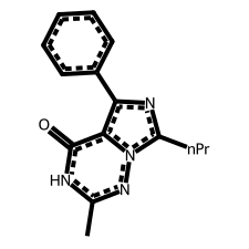 CCCc1nc(-c2ccccc2)c2c(=O)[nH]c(C)nn12